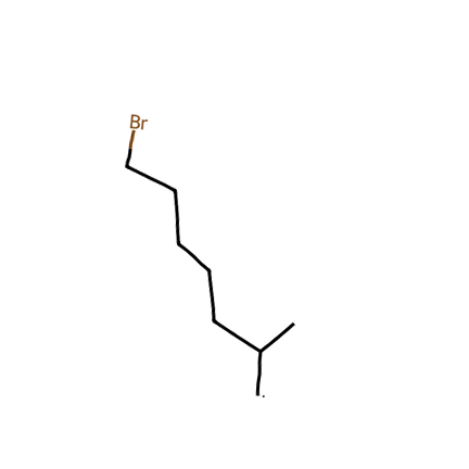 [CH2]C(C)CCCCCBr